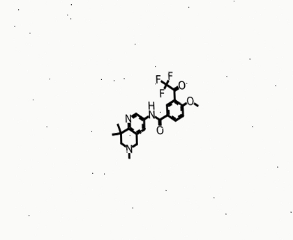 COc1ccc(C(=O)Nc2cnc3c(c2)CN(C)CC3(C)C)cc1C(=O)C(F)(F)F